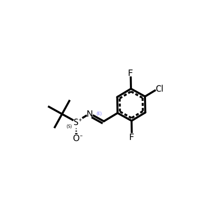 CC(C)(C)[S@@+]([O-])/N=C/c1cc(F)c(Cl)cc1F